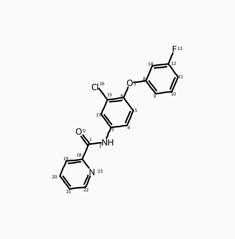 O=C(Nc1ccc(Oc2cccc(F)c2)c(Cl)c1)c1ccccn1